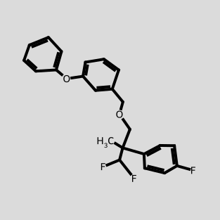 CC(COCc1cccc(Oc2ccccc2)c1)(c1ccc(F)cc1)C(F)F